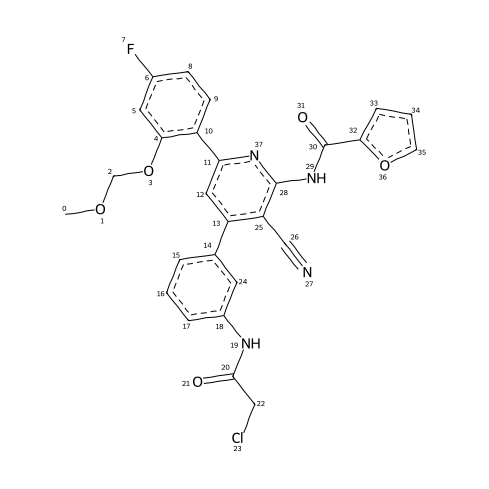 COCOc1cc(F)ccc1-c1cc(-c2cccc(NC(=O)CCl)c2)c(C#N)c(NC(=O)c2ccco2)n1